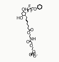 O=C(COCCO[N+](=O)[O-])NCCOC(=O)CCCC=CC[C@@H]1[C@@H](C=CC(F)(F)COc2ccccc2)[C@H](O)C[C@@H]1O